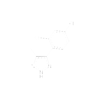 Cc1n[nH]nc1-c1ccc(Cl)cc1Cl